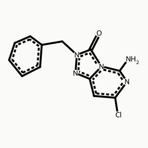 Nc1nc(Cl)cc2nn(Cc3ccccc3)c(=O)n12